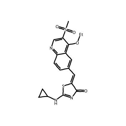 CCOc1c(S(C)(=O)=O)cnc2ccc(/C=C3\SC(NC4CC4)=NC3=O)cc12